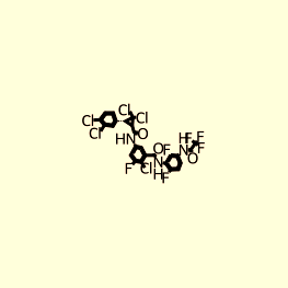 O=C(Nc1c(F)ccc(NC(=O)C(F)(F)F)c1F)c1cc(NC(=O)C2[C@H](c3ccc(Cl)c(Cl)c3)C2(Cl)Cl)cc(F)c1Cl